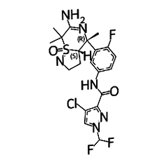 CC1(C)C(N)=N[C@](C)(c2cc(NC(=O)c3nn(C(F)F)cc3Cl)ccc2F)[C@@H]2CCN=S21=O